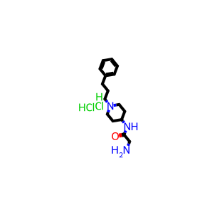 Cl.Cl.NCC(=O)NC1CCN(CCCc2ccccc2)CC1